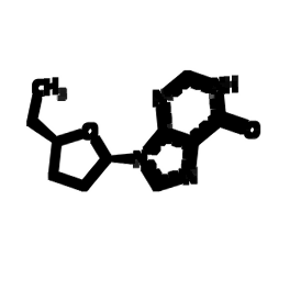 CC[C@@H]1CC[C@H](n2cnc3c(=O)[nH]cnc32)O1